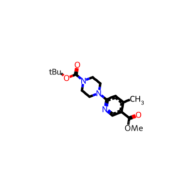 COC(=O)c1cnc(N2CCN(C(=O)OC(C)(C)C)CC2)cc1C